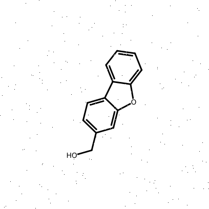 OCc1ccc2c(c1)oc1ccccc12